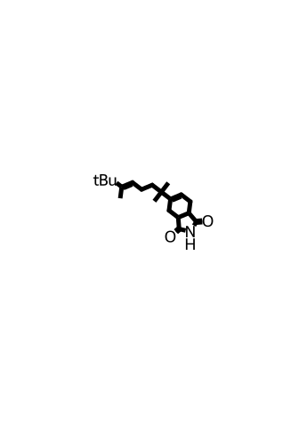 C/C(=C\CCC(C)(C)C1=CCC2C(=O)NC(=O)C2C1)C(C)(C)C